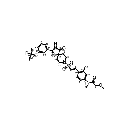 COCC(=O)N(C)c1ccc(C=CS(=O)(=O)N2CCC3(CC2)N=C(c2cccc(OC(F)(F)F)c2)NC3=O)c(C)c1